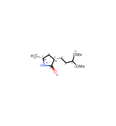 COC(CC[C@H]1C[C@@H](C)NC1=O)OC